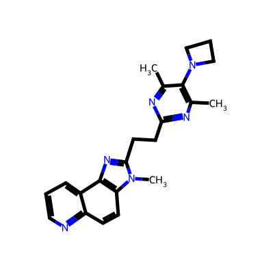 Cc1nc(CCc2nc3c4cccnc4ccc3n2C)nc(C)c1N1CCC1